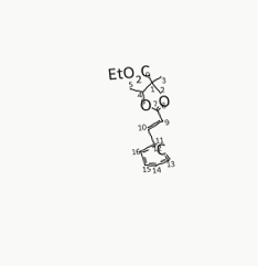 CCOC(=O)C(C)(C)C(C)OC(=O)C=Cc1ccccc1